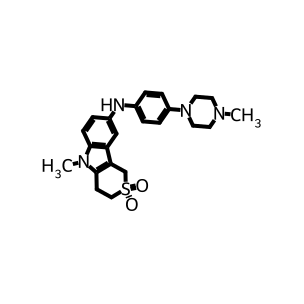 CN1CCN(c2ccc(Nc3ccc4c(c3)c3c(n4C)CCS(=O)(=O)C3)cc2)CC1